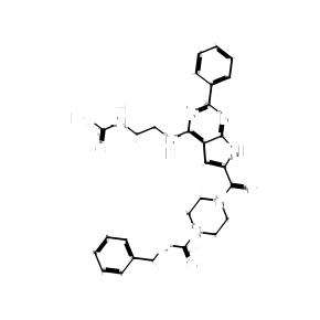 CC(=O)NCCNc1nc(-c2ccccc2)nc2[nH]c(C(=O)N3CCN(C(=O)OCc4ccccc4)CC3)cc12